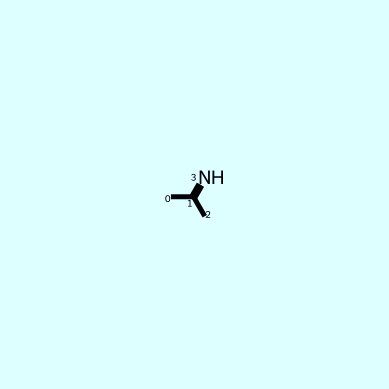 CC(C)=N